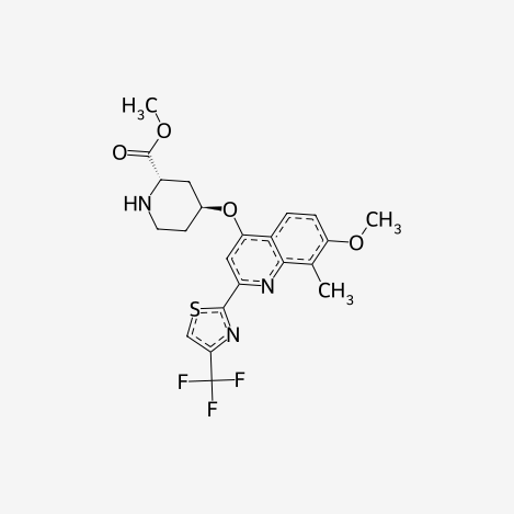 COC(=O)[C@@H]1C[C@@H](Oc2cc(-c3nc(C(F)(F)F)cs3)nc3c(C)c(OC)ccc23)CCN1